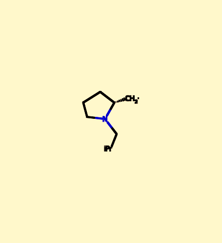 [CH2][C@H]1CCCN1CC(C)C